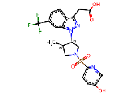 C[C@@H]1CN(S(=O)(=O)c2ccc(O)cn2)C[C@@H]1n1nc(CC(=O)O)c2ccc(C(F)(F)F)cc21